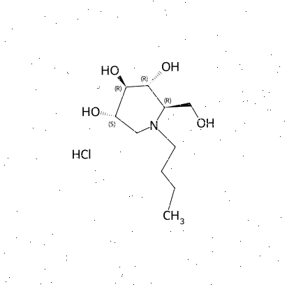 CCCCN1C[C@H](O)[C@@H](O)[C@H](O)[C@H]1CO.Cl